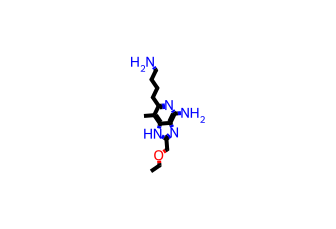 CCOCc1nc2c(N)nc(CCCCN)c(C)c2[nH]1